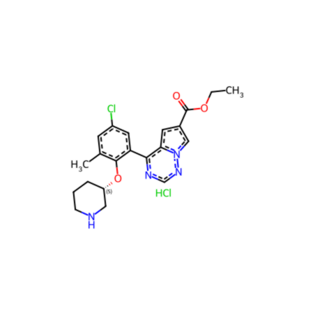 CCOC(=O)c1cc2c(-c3cc(Cl)cc(C)c3O[C@H]3CCCNC3)ncnn2c1.Cl